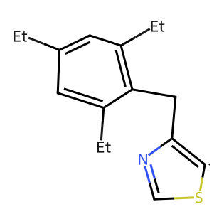 CCc1cc(CC)c(Cc2[c]scn2)c(CC)c1